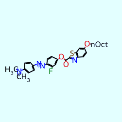 CCCCCCCCOc1ccc2nc(C(=O)Oc3ccc(/N=N/c4ccc(N(C)C)cc4)c(F)c3)sc2c1